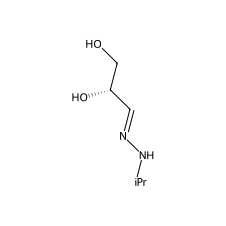 CC(C)N/N=C/[C@H](O)CO